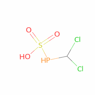 O=S(=O)(O)PC(Cl)Cl